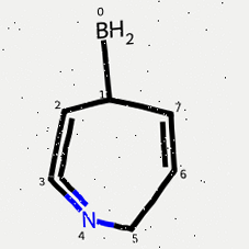 BC1C=C=NCC=C1